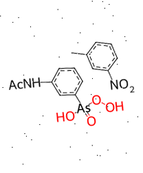 CC(=O)Nc1cccc([As](=O)(O)OO)c1.Cc1cccc([N+](=O)[O-])c1